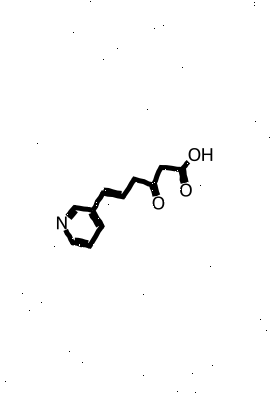 O=C(O)CC(=O)CC=Cc1cccnc1